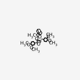 COc1ccc(C[C@@H]2CO[C@@H](c3ccc(OC)c(OC)c3)[C@@H]2OC(=O)C(C)C23CC4CC(CC(C4)C2)C3)cc1OC